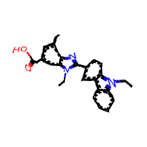 CCn1c(-c2ccc3c(c2)c2ccccc2n3CC)nc2c(C)cc(C(=O)O)cc21